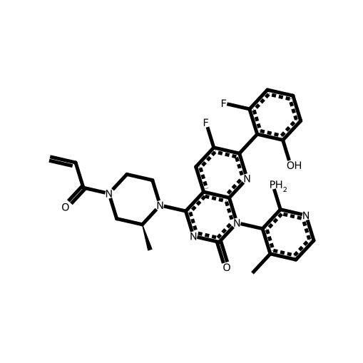 C=CC(=O)N1CCN(c2nc(=O)n(-c3c(C)ccnc3P)c3nc(-c4c(O)cccc4F)c(F)cc23)[C@@H](C)C1